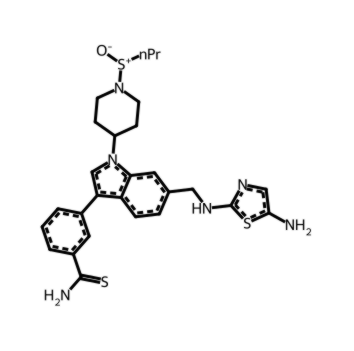 CCC[S+]([O-])N1CCC(n2cc(-c3cccc(C(N)=S)c3)c3ccc(CNc4ncc(N)s4)cc32)CC1